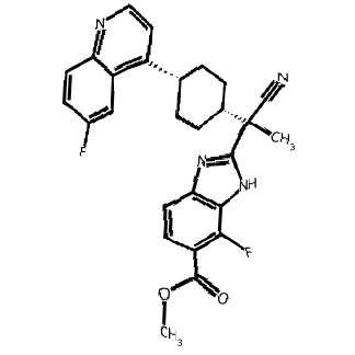 COC(=O)c1ccc2nc(C(C)(C#N)[C@H]3CC[C@@H](c4ccnc5ccc(F)cc54)CC3)[nH]c2c1F